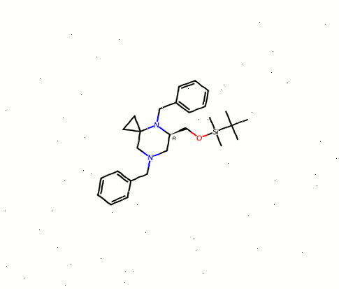 CC(C)(C)[Si](C)(C)OC[C@H]1CN(Cc2ccccc2)CC2(CC2)N1Cc1ccccc1